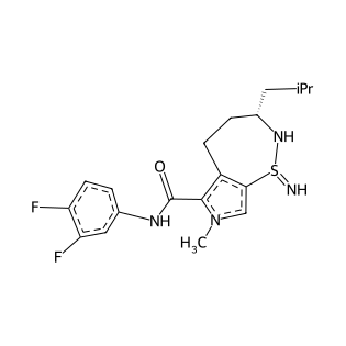 CC(C)C[C@H]1CCc2c(cn(C)c2C(=O)Nc2ccc(F)c(F)c2)S(=N)N1